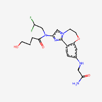 NC(=O)CNc1ccc2c(c1)OCCn1cc(N(CC(F)F)C(=O)CCCO)nc1-2